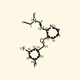 CCN(C)C=Nc1ncccc1OCc1cc(F)cc(F)c1